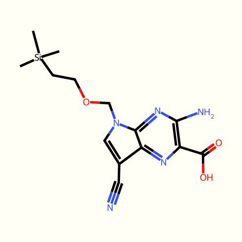 C[Si](C)(C)CCOCn1cc(C#N)c2nc(C(=O)O)c(N)nc21